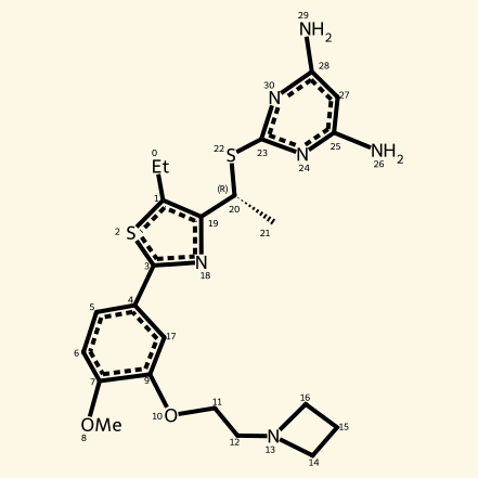 CCc1sc(-c2ccc(OC)c(OCCN3CCC3)c2)nc1[C@@H](C)Sc1nc(N)cc(N)n1